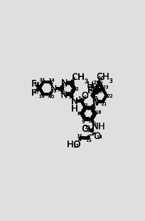 Cc1cc(NC(=O)c2ccc(NS(=O)(=O)CCO)cc2N2CC[C@]3(C(F)F)[C@H](C2)[C@@H]3C)nc(N2CCC(F)(F)CC2)n1